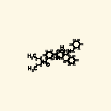 CCCN(CCC)C(=O)c1cccc(C(=O)N[C@@H](Cc2ccccc2)[C@H](O)CNCC2CCCCC2)c1